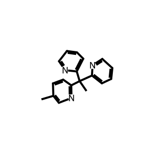 Cc1ccc(C(C)(c2ccccn2)c2ccccn2)nc1